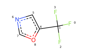 FC(F)(F)c1cnco1